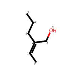 C/[C]=C(\CO)CCC